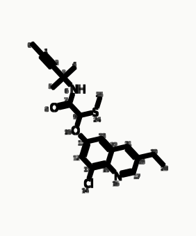 CC#CC(C)(C)NC(=O)C(Oc1cc(Cl)c2ncc(CC)cc2c1)SC